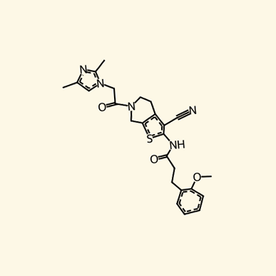 COc1ccccc1CCC(=O)Nc1sc2c(c1C#N)CCN(C(=O)Cn1cc(C)nc1C)C2